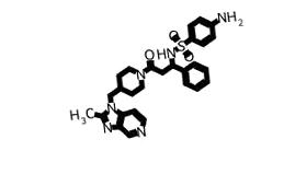 Cc1nc2cnccc2n1CC1CCN(C(=O)CC(NS(=O)(=O)c2ccc(N)cc2)c2ccccc2)CC1